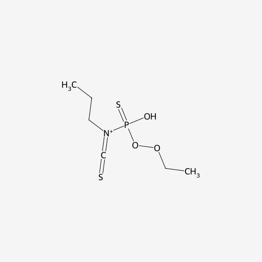 CCC[N+](=C=S)P(O)(=S)OOCC